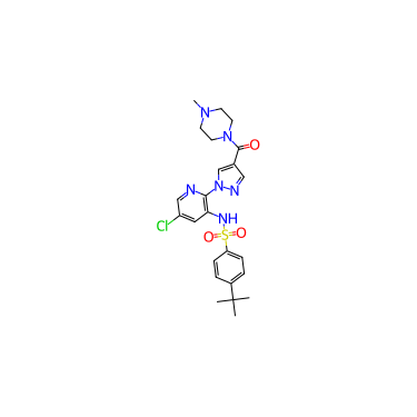 CN1CCN(C(=O)c2cnn(-c3ncc(Cl)cc3NS(=O)(=O)c3ccc(C(C)(C)C)cc3)c2)CC1